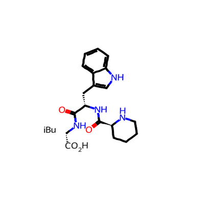 CC[C@H](C)[C@H](NC(=O)[C@H](Cc1c[nH]c2ccccc12)NC(=O)[C@@H]1CCCCN1)C(=O)O